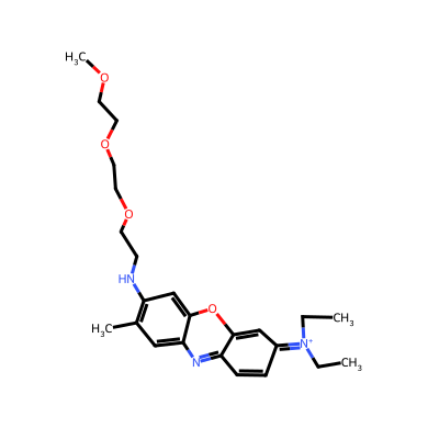 CC[N+](CC)=c1ccc2nc3cc(C)c(NCCOCCOCCOC)cc3oc-2c1